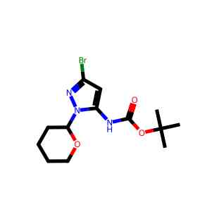 CC(C)(C)OC(=O)Nc1cc(Br)nn1C1CCCCO1